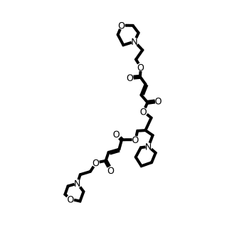 O=C(/C=C/C(=O)OCC(COC(=O)/C=C/C(=O)OCCN1CCOCC1)CN1CCCCC1)OCCN1CCOCC1